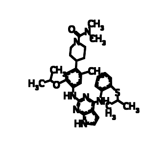 Cc1cc(Nc2nc(Nc3ccccc3SC(C)C)c3cc[nH]c3n2)c(OC(C)C)cc1C1CCN(C(=O)N(C)C)CC1